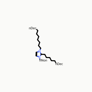 CCCCCCCCCCCCCCCCCN1C=CN(CCCCCCCCC)C1CCCCCCCCCCCCCCC